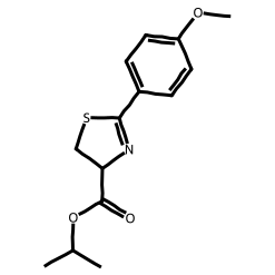 COc1ccc(C2=NC(C(=O)OC(C)C)CS2)cc1